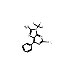 Nc1nc(-c2ccccc2)c2nc(N)n(C(F)(F)F)c2n1